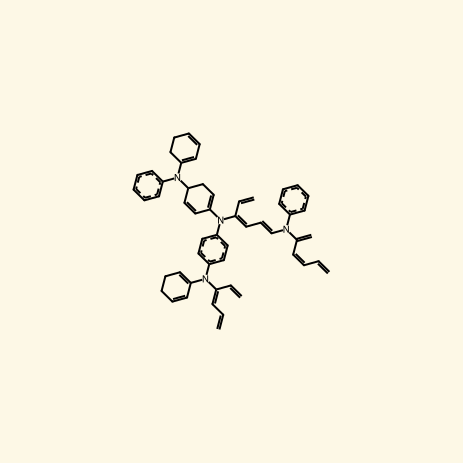 C=C/C=C\C(=C)N(/C=C/C=C(\C=C)N(C1=CCC(N(C2=CC=CCC2)c2ccccc2)C=C1)c1ccc(N(C2=CCCC=C2)/C(C=C)=C/C=C)cc1)c1ccccc1